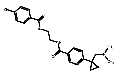 CN(C)CC1(c2ccc(C(=O)NCCNC(=O)c3ccc(Cl)cc3)cc2)CC1